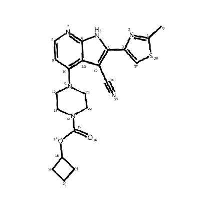 Cc1nc(-c2[nH]c3nccc(N4CCN(C(=O)OC5CCC5)CC4)c3c2C#N)cs1